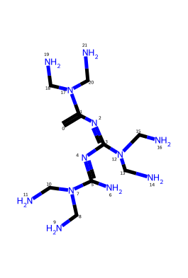 C=C(/N=C(\N=C(/N)N(CN)CN)N(CN)CN)N(CN)CN